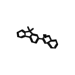 CC1(C)c2ccccc2-c2ccc(-c3cc4ccccc4cn3)cc21